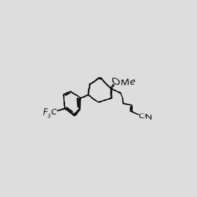 COC1(CCC=CC#N)CCC(c2ccc(C(F)(F)F)cc2)CC1